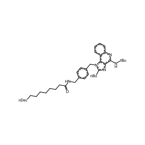 CCCCCCCCCCCCCCCCCC(=O)NCc1ccc(Cn2c(CCCC)nc3c(NC(C)(C)C)nc4ccccc4c32)cc1